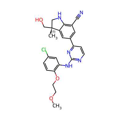 COCCOc1ccc(Cl)cc1Nc1nccc(-c2cc(C#N)c3c(c2)[C@](C)(CO)CN3)n1